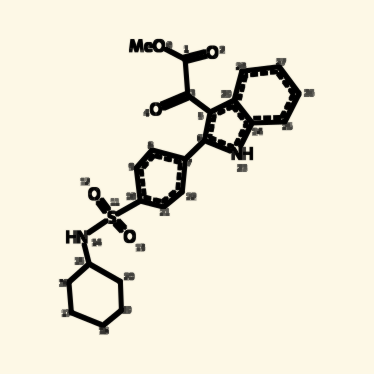 COC(=O)C(=O)c1c(-c2ccc(S(=O)(=O)NC3CCCCC3)cc2)[nH]c2ccccc12